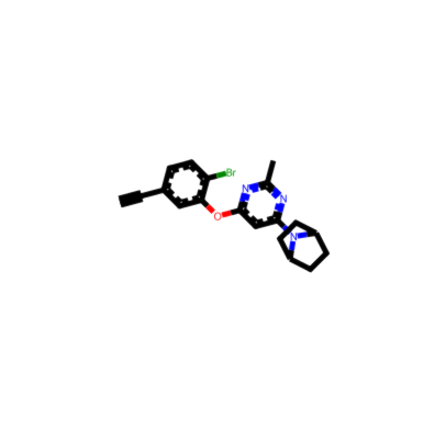 C#Cc1ccc(Br)c(Oc2cc(N3C4CCC3CC4)nc(C)n2)c1